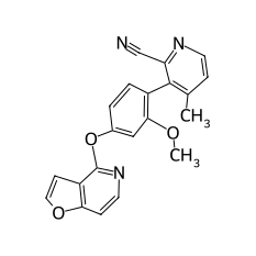 COc1cc(Oc2nccc3occc23)ccc1-c1c(C)ccnc1C#N